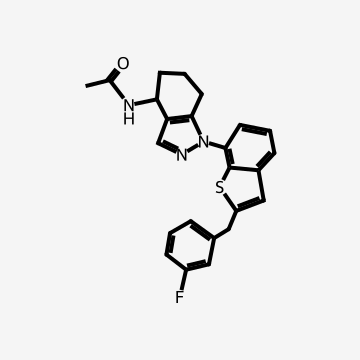 CC(=O)NC1CCCc2c1cnn2-c1cccc2cc(Cc3cccc(F)c3)sc12